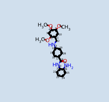 COc1cc(OC)c(OC)cc1CNc1ccc(C(=O)Nc2ccccc2N)cc1